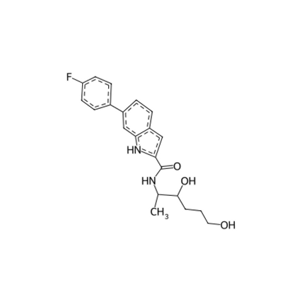 CC(NC(=O)c1cc2ccc(-c3ccc(F)cc3)cc2[nH]1)C(O)CCCO